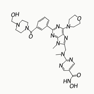 CN(Cc1nc2c(N3CCOCC3)nc(-c3cccc(C(=O)N4CCN(CO)CC4)c3)nc2n1C)c1ncc(C(=O)NO)cn1